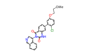 COCCOc1ccc(Cl)c(-c2ccc3c(=O)n(-c4cncc5ccccc45)c(=O)[nH]c3c2)c1